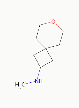 CNC1CC2(CCOCC2)C1